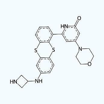 O=c1cc(N2CCOCC2)cc(-c2cccc3c2Sc2ccc(NC4CNC4)cc2S3)[nH]1